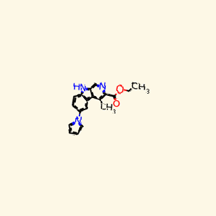 CCOC(=O)c1ncc2[nH]c3ccc(-n4cccc4)cc3c2c1C